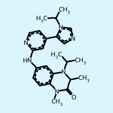 CC(C)N1c2cc(Nc3cc(-c4cncn4C(C)C)ccn3)ccc2N(C)C(=O)C1C